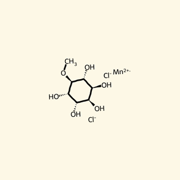 CO[C@H]1[C@H](O)[C@@H](O)[C@@H](O)[C@H](O)[C@@H]1O.[Cl-].[Cl-].[Mn+2]